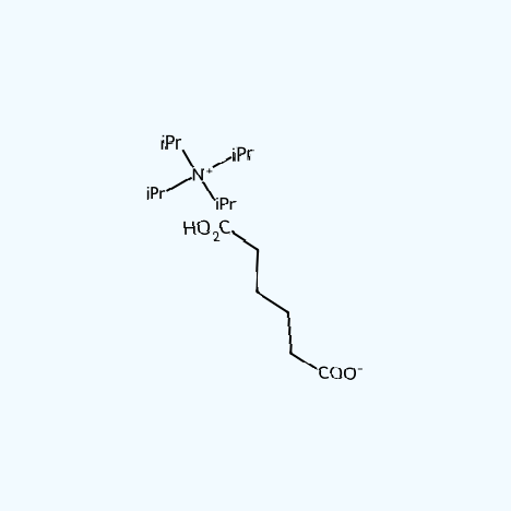 CC(C)[N+](C(C)C)(C(C)C)C(C)C.O=C([O-])CCCCC(=O)O